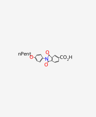 CCCCCOc1ccc(N2C(=O)c3ccc(C(=O)O)cc3C2=O)cc1